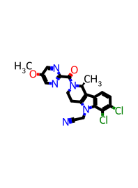 COc1cnc(C(=O)N2CCc3c(c4ccc(Cl)c(Cl)c4n3CC#N)[C@@H]2C)nc1